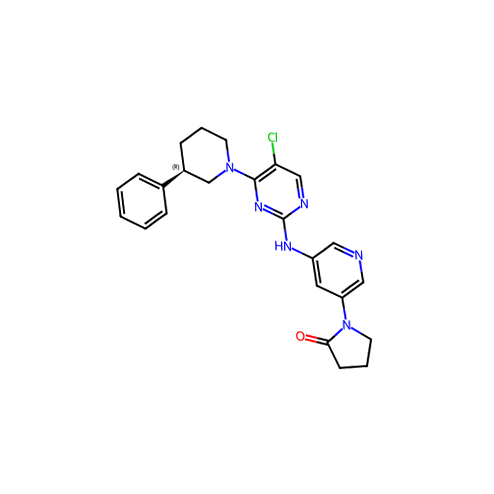 O=C1CCCN1c1cncc(Nc2ncc(Cl)c(N3CCC[C@H](c4ccccc4)C3)n2)c1